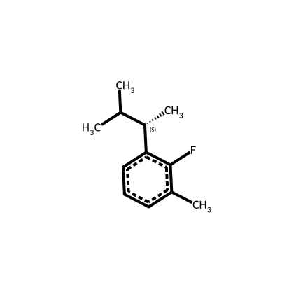 Cc1cccc([C@@H](C)C(C)C)c1F